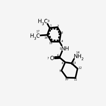 Cc1ccc(NC(=O)C2CCCC[C]2N)cc1C